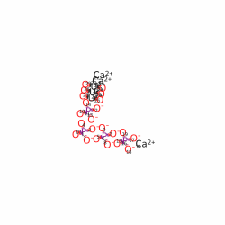 O=P([O-])([O-])[O-].O=P([O-])([O-])[O-].O=P([O-])([O-])[O-].O=P([O-])([O-])[O-].[Ca+2].[Ca+2].[Ca+2].[O]=[U+2]=[O].[O]=[U+2]=[O].[O]=[U+2]=[O]